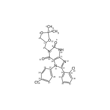 CC1(C)OCC(Cn2c(=O)[nH]c3nc(-c4ccccc4Cl)n(-c4ccc(Cl)cc4)c3c2=O)O1